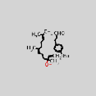 C=CC(C)(O)CC/C=C(/C)CCC=C(C)C.CC(C)(C)c1ccc(CCC=O)cc1